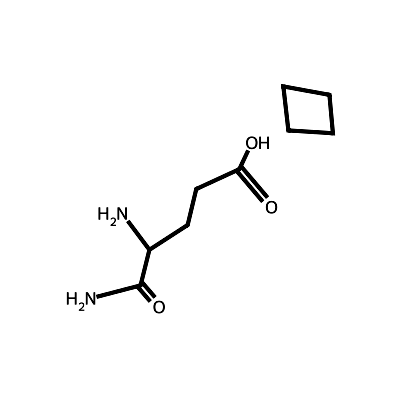 C1CCC1.NC(=O)C(N)CCC(=O)O